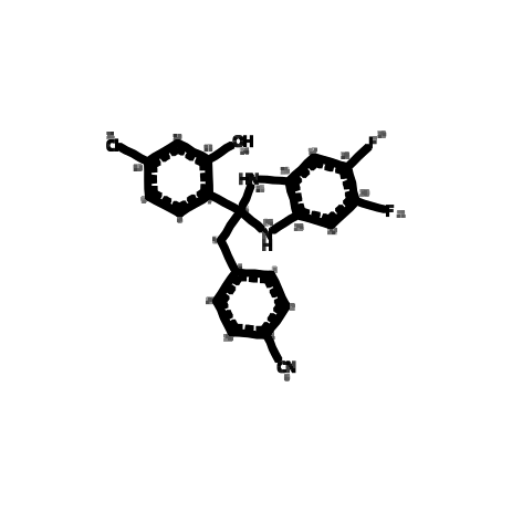 N#Cc1ccc(CC2(c3ccc(Cl)cc3O)Nc3cc(F)c(F)cc3N2)cc1